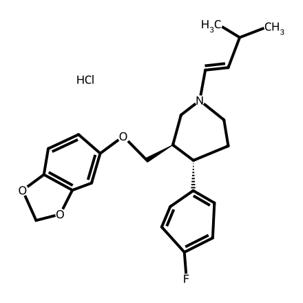 CC(C)/C=C/N1CC[C@H](c2ccc(F)cc2)[C@@H](COc2ccc3c(c2)OCO3)C1.Cl